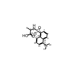 CC(NS(=O)(=O)c1cccc2c(N(C)C)cccc12)C(=O)O